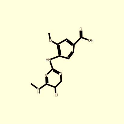 CNC1=NC(Nc2ccc(C(=O)O)cc2OC)=NCC1Cl